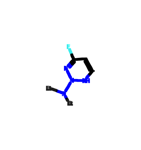 CCN(CC)N1N=C(F)C=[C]N1